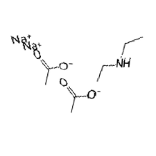 CC(=O)[O-].CC(=O)[O-].CCNCC.[Na+].[Na+]